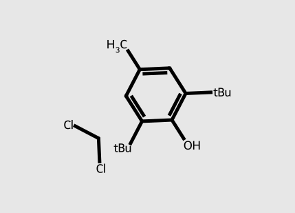 Cc1cc(C(C)(C)C)c(O)c(C(C)(C)C)c1.ClCCl